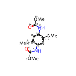 CNc1cc(NC(=O)OC)c(NC)cc1NC(=O)OC